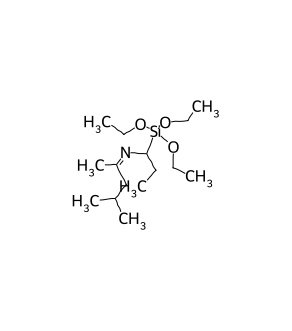 CCO[Si](OCC)(OCC)C(CC)N=C(C)CC(C)C